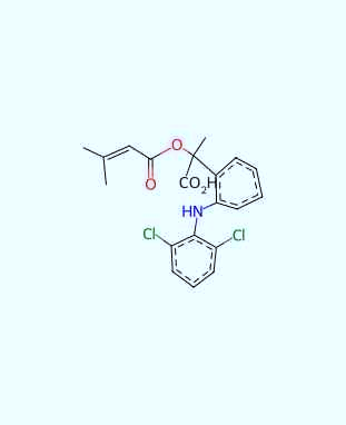 CC(C)=CC(=O)OC(C)(C(=O)O)c1ccccc1Nc1c(Cl)cccc1Cl